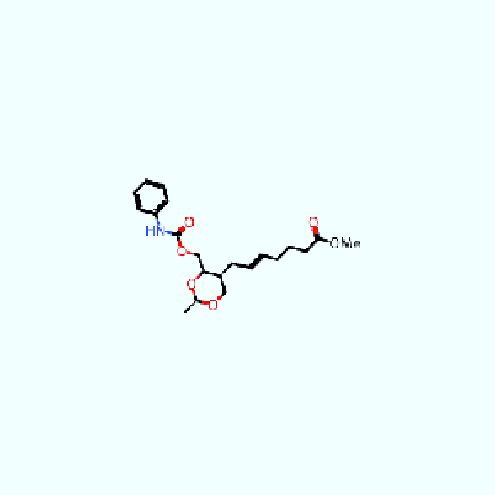 COC(=O)CCCC=CC[C@H]1CO[C@@H](C)O[C@H]1COC(=O)Nc1ccccc1